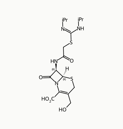 CC(C)N=C(NC(C)C)SCC(=O)N[C@@H]1C(=O)N2C(C(=O)O)=C(CO)CS[C@H]12